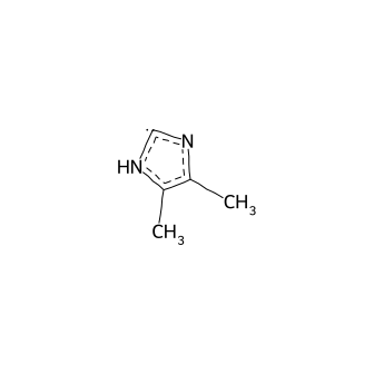 Cc1n[c][nH]c1C